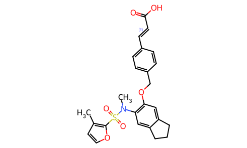 Cc1ccoc1S(=O)(=O)N(C)c1cc2c(cc1OCc1ccc(/C=C/C(=O)O)cc1)CCC2